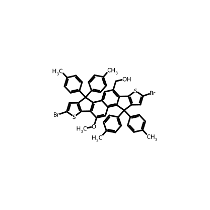 COc1cc2c3c(c(CO)cc2c2c1-c1sc(Br)cc1C2(c1ccc(C)cc1)c1ccc(C)cc1)-c1sc(Br)cc1C3(c1ccc(C)cc1)c1ccc(C)cc1